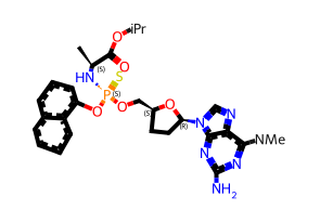 CNc1nc(N)nc2c1ncn2[C@H]1CC[C@@H](CO[P@@](=S)(N[C@@H](C)C(=O)OC(C)C)Oc2cccc3ccccc23)O1